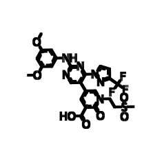 COc1cc(Nc2ncc(-c3cc(C(=O)O)c(=O)n(CCS(C)(=O)=O)c3)c(-n3ccc(C(F)(F)F)n3)n2)cc(OC)c1